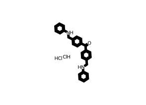 Cl.Cl.O=C(c1ccc(CNc2ccccc2)cc1)c1ccc(CNc2ccccc2)cc1